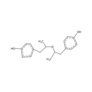 CC(Cc1ccc(O)cc1)OC(C)Cc1ccc(O)cc1